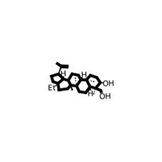 C=C(C)[C@@H]1CC[C@]2(CC)CC[C@]3(C)C(CC[C@@H]4[C@@]5(C)CC[C@H](O)[C@@](C)(CO)[C@@H]5CC[C@]43C)[C@@H]12